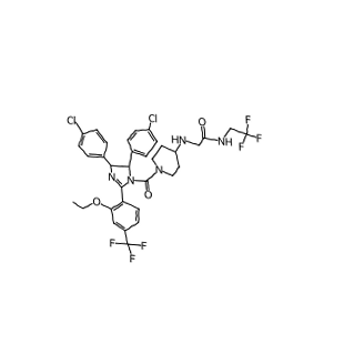 CCOc1cc(C(F)(F)F)ccc1C1=NC(c2ccc(Cl)cc2)C(c2ccc(Cl)cc2)N1C(=O)N1CCC(NCC(=O)NCC(F)(F)F)CC1